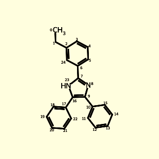 CCc1cccc(-c2nc(-c3ccccc3)c(-c3ccccc3)[nH]2)c1